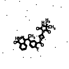 CC(c1ccc(F)c(C(=O)N2CC(N3C(=O)NC(C)(C)C3=O)C2)c1)c1n[nH]c(=O)c2ccccc12